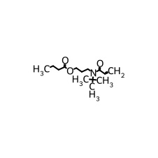 C=CC(=O)N(CCCOC(=O)CCC)C(C)(C)C